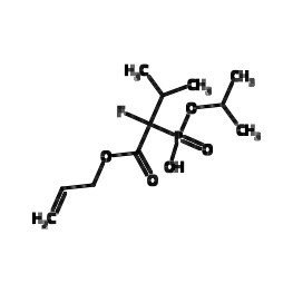 C=CCOC(=O)C(F)(C(C)C)P(=O)(O)OC(C)C